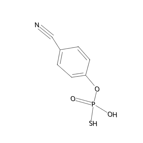 N#Cc1ccc(OP(=O)(O)S)cc1